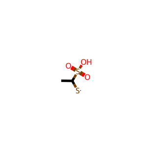 CC([S])S(=O)(=O)O